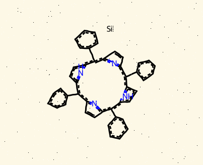 C1=Cc2nc1c(-c1ccccc1)c1ccc([nH]1)c(-c1ccccc1)c1nc(c(-c3ccccc3)c3ccc([nH]3)c2-c2ccccc2)C=C1.[Si]